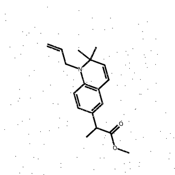 C=CCN1c2ccc(C(C)C(=O)OC)cc2C=CC1(C)C